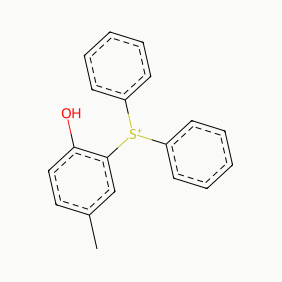 Cc1ccc(O)c([S+](c2ccccc2)c2ccccc2)c1